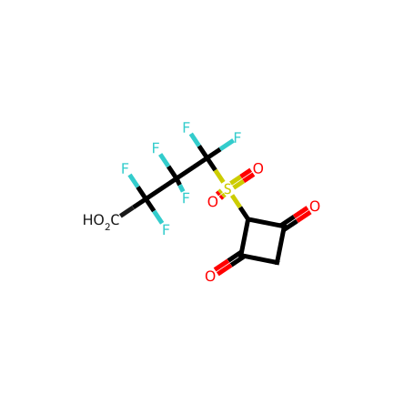 O=C1CC(=O)C1S(=O)(=O)C(F)(F)C(F)(F)C(F)(F)C(=O)O